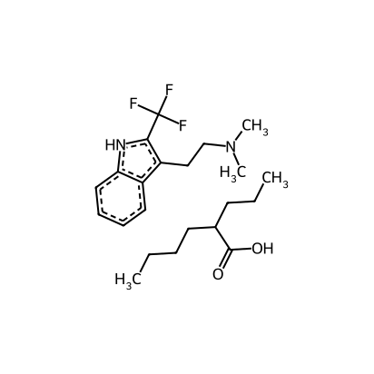 CCCCC(CCC)C(=O)O.CN(C)CCc1c(C(F)(F)F)[nH]c2ccccc12